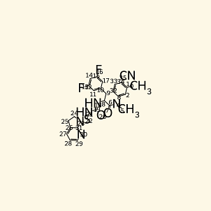 Cc1cc(N(C)C(=O)C(Cc2cc(F)cc(F)c2)NC(=O)NSN2CCc3cccnc32)ccc1C#N